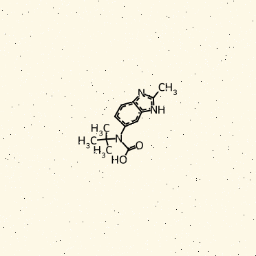 Cc1nc2ccc(N(C(=O)O)C(C)(C)C)cc2[nH]1